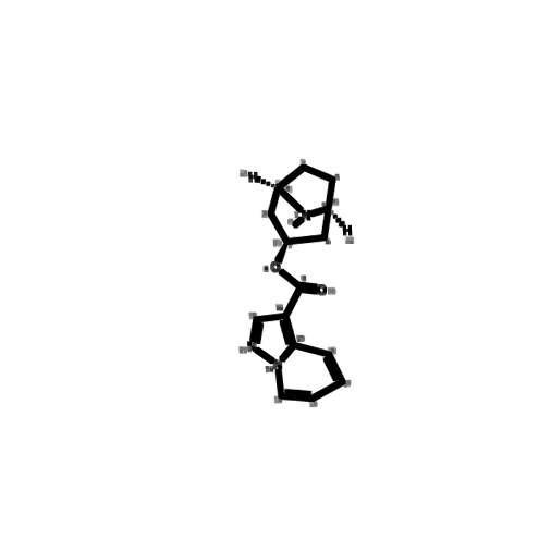 CN1[C@@H]2CC[C@H]1C[C@@H](OC(=O)c1cnn3ccccc13)C2